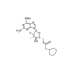 CNc1nc(N)nc2c1ncn2[C@@H]1O[C@H](COC(=O)CC2CCCCC2)[C@@H](O)[C@@]1(C)F